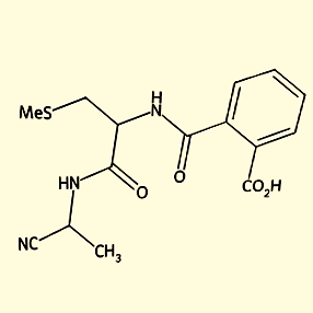 CSCC(NC(=O)c1ccccc1C(=O)O)C(=O)NC(C)C#N